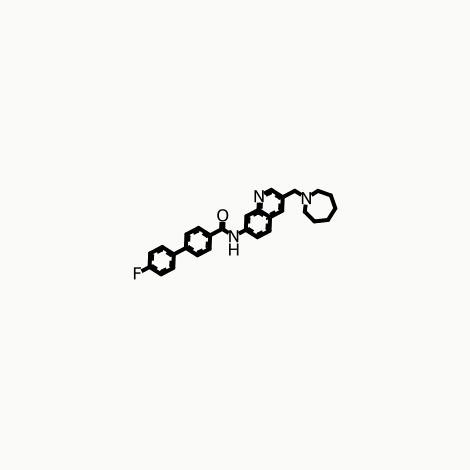 O=C(Nc1ccc2cc(CN3CCCCCC3)cnc2c1)c1ccc(-c2ccc(F)cc2)cc1